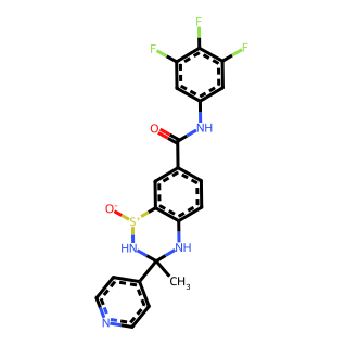 CC1(c2ccncc2)Nc2ccc(C(=O)Nc3cc(F)c(F)c(F)c3)cc2[S+]([O-])N1